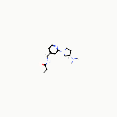 CCC(=O)N[C@H](C)c1ccnc(N2CC[C@@H](N(C)C)C2)c1